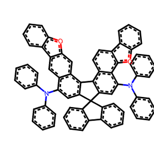 c1ccc(N(c2ccccc2)c2cc3c(c4cc5oc6ccccc6c5cc24)-c2c(cc(N(c4ccccc4)c4ccccc4)c4c2ccc2c5ccccc5oc24)C32c3ccccc3-c3ccccc32)cc1